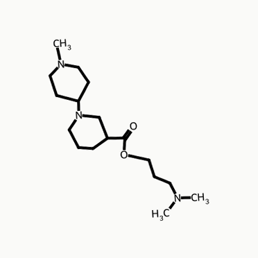 CN(C)CCCOC(=O)C1CCCN(C2CCN(C)CC2)C1